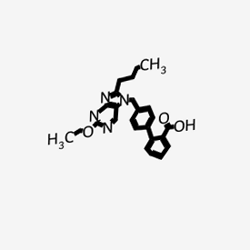 CCCCc1nc2nc(OCC)ncc2n1Cc1ccc(-c2ccccc2C(=O)O)cc1